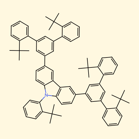 CC(C)(C)c1ccccc1-c1cc(-c2ccc3c(c2)c2cc(-c4cc(-c5ccccc5C(C)(C)C)cc(-c5ccccc5C(C)(C)C)c4)ccc2n3-c2ccccc2C(C)(C)C)cc(-c2ccccc2C(C)(C)C)c1